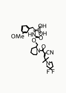 COc1cccc(C[C@H](NC(=O)OCC2CCCCN2C(=O)C(C#N)=CC(C)(C)N2CCC(F)(F)C2)B(O)O)c1